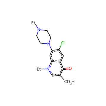 CCN1CCN(c2cc3c(cc2Cl)c(=O)c(C(=O)O)cn3CC)CC1